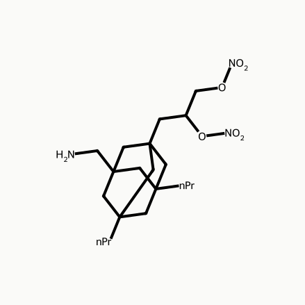 CCCC12CC3(CN)CC(CCC)(C1)CC(CC(CO[N+](=O)[O-])O[N+](=O)[O-])(C3)C2